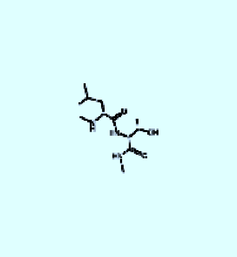 CNC(=O)[C@@H](NC(=O)[C@H](CC(C)C)NC)[C@@H](C)O